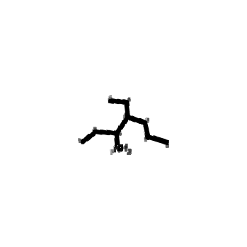 CCCC(CC)C(N)CC